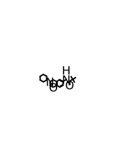 CC(C)(C)C(=O)Nc1ccc2c(c1)CN(C1CCCCC1)CO2